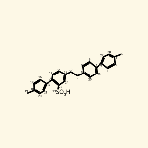 Cc1ccc(-c2ccc(CCc3ccc(-c4ccc(C)cc4)c(S(=O)(=O)O)c3)cc2)cc1